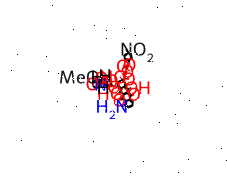 CO[C@H]1OCCN2[C@@H]1O[C@@H]1[C@H](C)OC(O[C@H]3C[C@](O)(C(=O)COC(=O)Oc4ccc([N+](=O)[O-])cc4)Cc4c(O)c5c(c(O)c43)C(=O)c3c(N)cccc3C5=O)C[C@@H]12